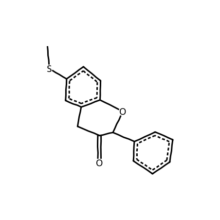 CSc1ccc2c(c1)CC(=O)C(c1ccccc1)O2